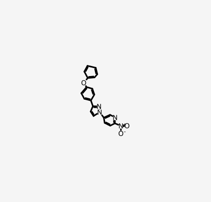 O=[N+]([O-])c1ccc(-n2ccc(-c3ccc(Oc4ccccc4)cc3)n2)cn1